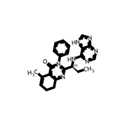 CC[C@H](Nc1ncnc2nc[nH]c12)c1nc2c(c(=O)n1-c1ccccc1)C(C)=CCC2